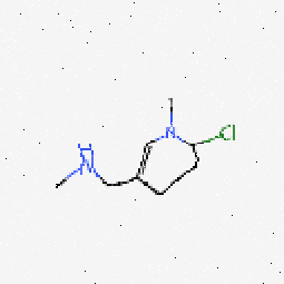 CNCC1=CN(C)C(Cl)CC1